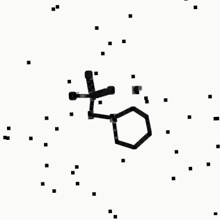 O=S(=O)([O-])SN1CCCCC1.[K+]